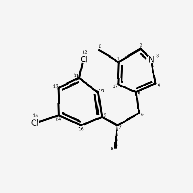 Cc1cncc(C[C@@H](C)c2cc(Cl)cc(Cl)c2)c1